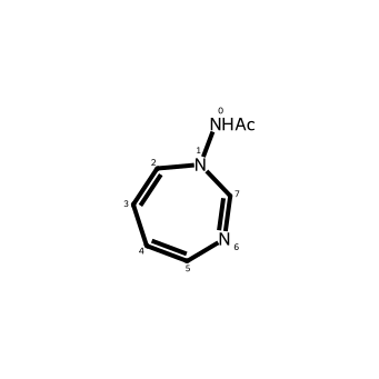 CC(=O)NN1C=CC=CN=C1